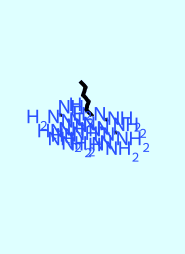 CCCCCCN(NN(C(N)N)N(C(N)N)N(N)N)N(NNN)NN(NNN)C(N)N